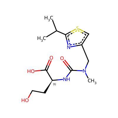 CC(C)c1nc(CN(C)C(=O)N[C@@H](CCO)C(=O)O)cs1